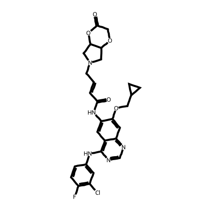 O=C(C=CCN1CC2OCC(=O)OC2C1)Nc1cc2c(Nc3ccc(F)c(Cl)c3)ncnc2cc1OCC1CC1